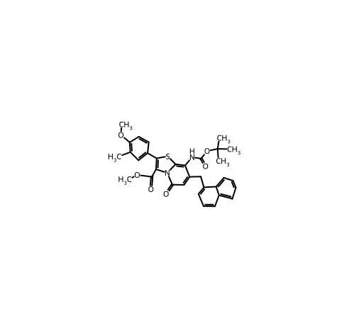 COC(=O)c1c(-c2ccc(OC)c(C)c2)sc2c(NC(=O)OC(C)(C)C)c(Cc3cccc4ccccc34)cc(=O)n12